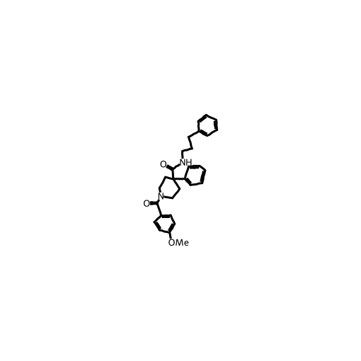 COc1ccc(C(=O)N2CCC(C(=O)NCCCc3ccccc3)(c3ccccc3)CC2)cc1